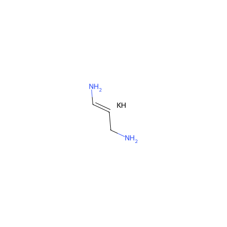 NC=CCN.[KH]